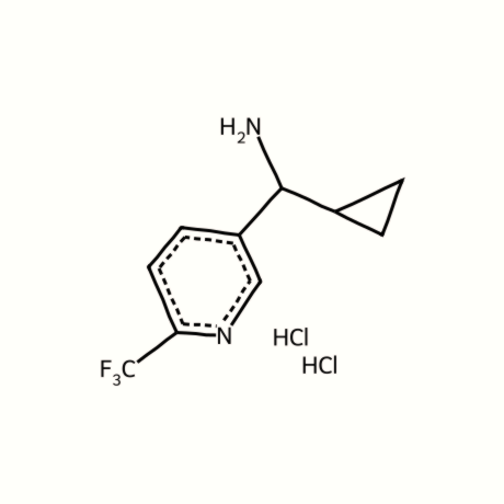 Cl.Cl.NC(c1ccc(C(F)(F)F)nc1)C1CC1